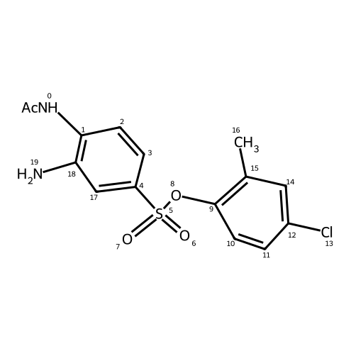 CC(=O)Nc1ccc(S(=O)(=O)Oc2ccc(Cl)cc2C)cc1N